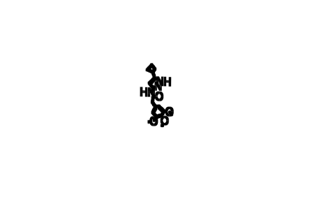 COc1cc(CC(=O)Nc2cc(C3CCC3)[nH]n2)cc(OC)c1OC